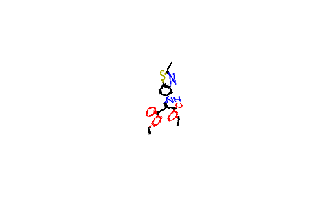 CCOC(=O)C(=CNc1ccc2sc(C)nc2c1)C(=O)OCC